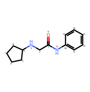 O=C(CNC1CCCC1)Nc1ccccc1